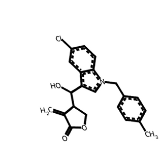 C=C1C(=O)OCC1C(O)c1cn(Cc2ccc(C)cc2)c2ccc(Cl)cc12